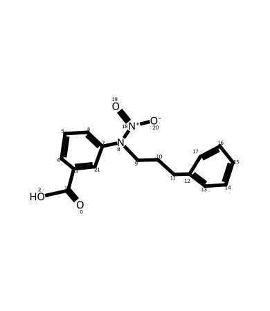 O=C(O)c1cccc(N(CCCc2ccccc2)[N+](=O)[O-])c1